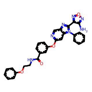 Nc1nonc1-c1nc2cnc(Oc3cccc(C(=O)NCCOc4ccccc4)c3)cc2n1-c1ccccc1